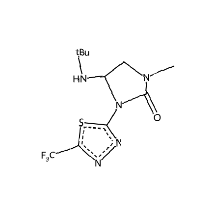 CN1CC(NC(C)(C)C)N(c2nnc(C(F)(F)F)s2)C1=O